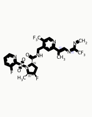 C=N/C(=N\C=C(/C)c1cc(CNC(=O)[C@@H]2C[C@@H](F)[C@H](C)N2S(=O)(=O)c2ncccc2F)c(C(F)(F)F)cn1)C(F)(F)F